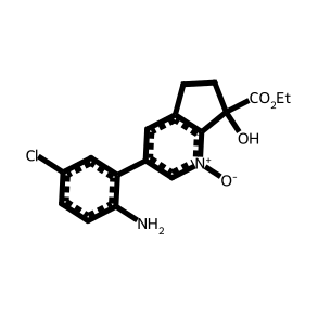 CCOC(=O)C1(O)CCc2cc(-c3cc(Cl)ccc3N)c[n+]([O-])c21